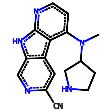 CN(c1ccnc2[nH]c3cnc(C#N)cc3c12)C1CCNC1